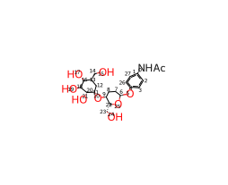 CC(=O)Nc1ccc(O[C@@H]2CC[C@H](O[C@@H]3C[C@H](CO)[C@H](O)[C@H](O)[C@H]3O)[C@@H](CO)O2)cc1